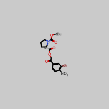 CC(C)(C)OC(=O)N1CCC[C@H]1C(=O)OCC(=O)c1ccc([N+](=O)[O-])c(Br)c1